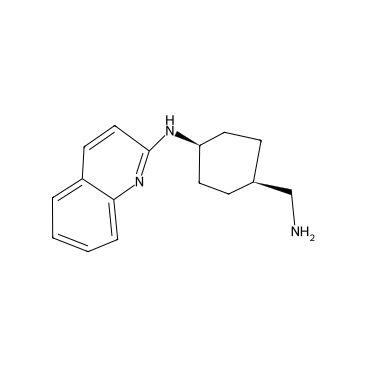 NC[C@H]1CC[C@@H](Nc2ccc3ccccc3n2)CC1